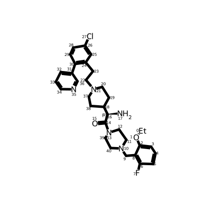 CCOc1cccc(F)c1CN1CCN(C(=O)[C@H](N)C2CCN(CCc3cc(Cl)ccc3-c3cccnc3)CC2)CC1